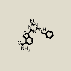 CCc1nc(NCc2ccccc2)nc(-c2scc3c(C(N)=O)cccc23)n1